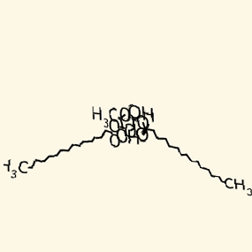 CCCCCCCCCCCCCCCC(=O)OC1(O)COC(O)(OC(=O)CCCCCCCCCCCCCCC)C(C)O1